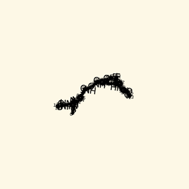 CCCSc1nc(NCCNC(=O)OC(C)(C)C)c2nnn(Cc3ccc(C#CC(=O)NCCOCCNC(=O)c4ccc(N(CC#Cc5cc6c(NC7CCN(C(=O)OC(C)(C)C)CC7)cccc6n5CC(F)(F)F)C(=O)OC(C)(C)C)cc4)cc3)c2n1